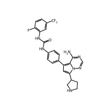 Nc1ncnn2c(C3CCNC3)cc(-c3ccc(NC(=O)Nc4cc(C(F)(F)F)ccc4F)cc3)c12